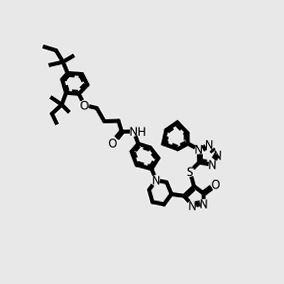 CCC(C)(C)c1ccc(OCCCC(=O)Nc2ccc(N3CCCC(C4=C(Sc5nnnn5-c5ccccc5)C(=O)N=N4)C3)cc2)c(C(C)(C)CC)c1